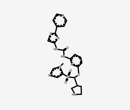 Cn1cncc1S(=O)(=O)C(Oc1cccc(NC(=O)Nc2csc(-c3ccncc3)n2)n1)C1CCNC1